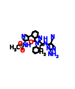 C[C@@H](Nc1nc(N)ncc1C#N)c1nc2cccc(-c3cncc(NS(C)(=O)=O)c3)c2c(=O)n1-c1ccccc1